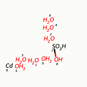 O.O.O.O.O.O.O.O=S(=O)(O)O.[Cd]